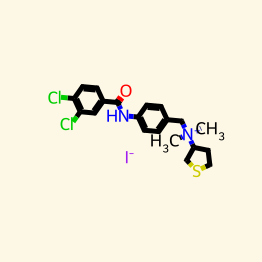 C[N+](C)(Cc1ccc(NC(=O)c2ccc(Cl)c(Cl)c2)cc1)C1CCSC1.[I-]